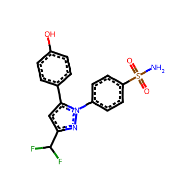 NS(=O)(=O)c1ccc(-n2nc(C(F)F)cc2-c2ccc(O)cc2)cc1